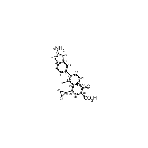 Cc1c(-c2ccc3sc(N)cc3c2)ccn2c(=O)c(C(=O)O)cc(C3CC3)c12